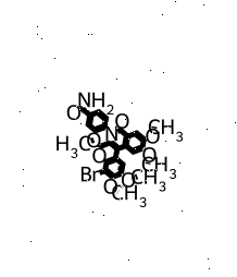 COC(=O)c1c(-c2cc(Br)c(OC)c(OC)c2)c2cc(OC)c(OC)cc2c(=O)n1-c1ccc(C(N)=O)cc1